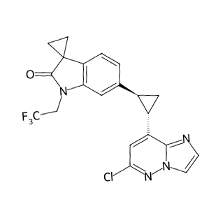 O=C1N(CC(F)(F)F)c2cc([C@H]3C[C@@H]3c3cc(Cl)nn4ccnc34)ccc2C12CC2